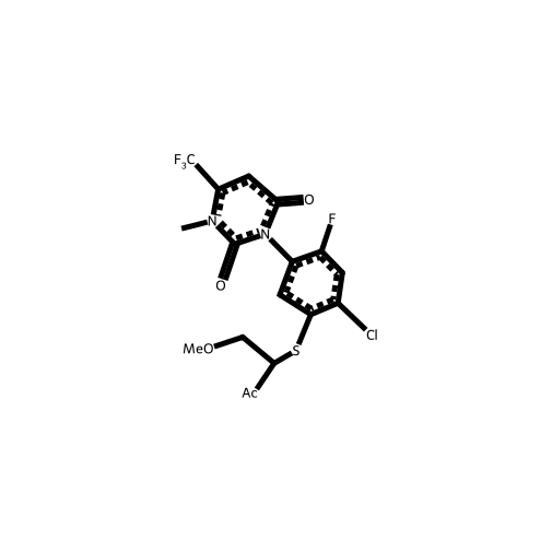 COCC(Sc1cc(-n2c(=O)cc(C(F)(F)F)n(C)c2=O)c(F)cc1Cl)C(C)=O